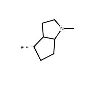 C[C@H]1CCC2C1CCN2C